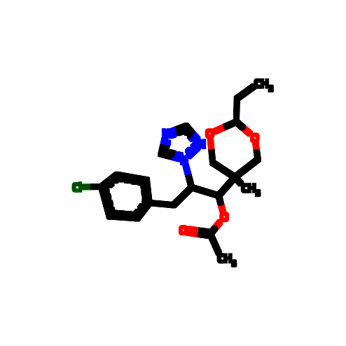 CCC1OCC(C)(C(OC(C)=O)C(Cc2ccc(Cl)cc2)n2cncn2)CO1